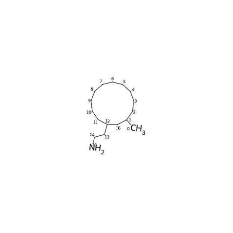 CC1CCCCCCCCCCC(CCN)C1